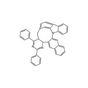 c1ccc(C2=NC3c4cc5ccccc5cc4-n4c5ccccc5c5ccc(cc54)CC3C(c3ccccc3)=N2)cc1